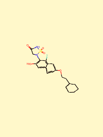 O=C1CN(c2c(O)cc3ccc(OCCC4CCCCC4)cc3c2F)S(=O)(=O)N1